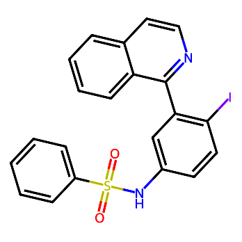 O=S(=O)(Nc1ccc(I)c(-c2nccc3ccccc23)c1)c1ccccc1